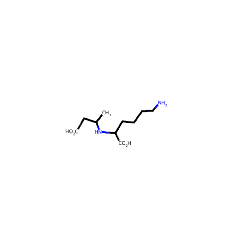 CC(CC(=O)O)NC(CCCCN)C(=O)O